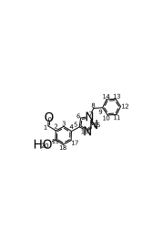 O=Cc1cc(-c2cn(Cc3ccccc3)nn2)ccc1O